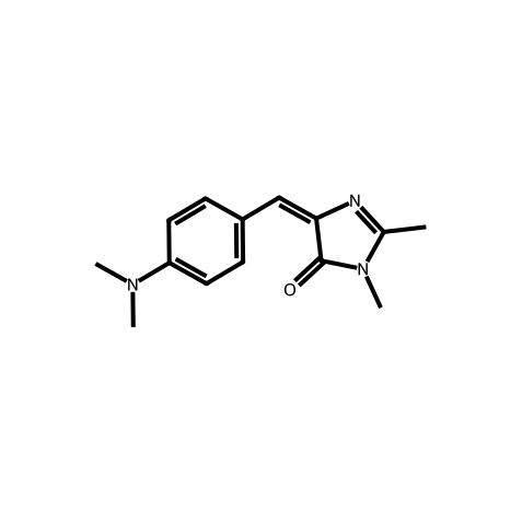 CC1=N/C(=C/c2ccc(N(C)C)cc2)C(=O)N1C